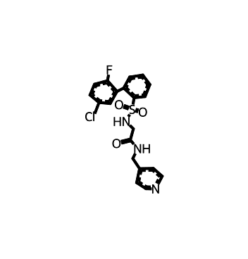 O=C(CNS(=O)(=O)c1ccccc1-c1cc(Cl)ccc1F)NCc1ccncc1